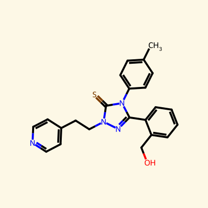 Cc1ccc(-n2c(-c3ccccc3CO)nn(CCc3ccncc3)c2=S)cc1